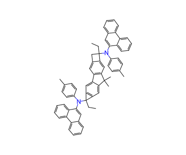 CCC1(N(c2ccc(C)cc2)c2cc3ccccc3c3ccccc23)Cc2cc3c(cc21)C(C)(C)c1cc2c(cc1-3)C2(CC)N(c1ccc(C)cc1)c1cc2ccccc2c2ccccc12